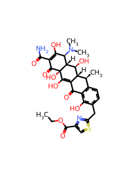 CCOC(=O)c1csc(Cc2ccc3c(c2O)C(=O)C2=C(O)[C@]4(O)C(=O)C(C(N)=O)=C(O)[C@@H](N(C)C)[C@@H]4[C@@H](O)[C@@H]2[C@H]3C)n1